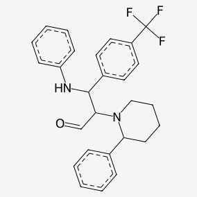 O=CC(C(Nc1ccccc1)c1ccc(C(F)(F)F)cc1)N1CCCCC1c1ccccc1